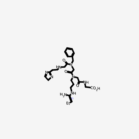 CC/C=C(\N)NCCCN(CC(=O)NCC(=O)O)C(=O)CN(Cc1ccccc1)C(=O)CNCCC1=NCC=N1